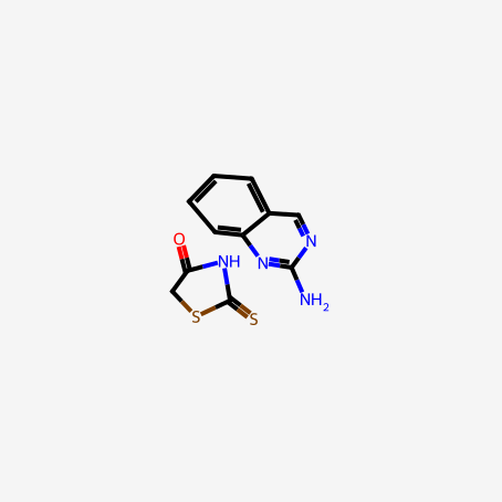 Nc1ncc2ccccc2n1.O=C1CSC(=S)N1